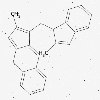 CC1=Cc2ccccc2C1CC1=C(C)C=C2Cc3ccccc3C=C21